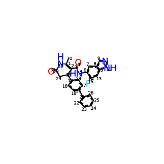 CC1=C(C(=O)Nc2cc3cn[nH]c3cc2F)C(c2ccc(-c3ccccc3)cc2)CC(=O)N1